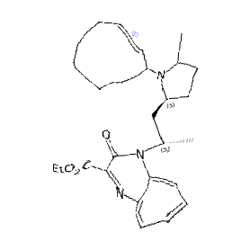 CCOC(=O)c1nc2ccccc2n([C@@H](C)C[C@@H]2CCC(C)N2C2/C=C\CCCCC2)c1=O